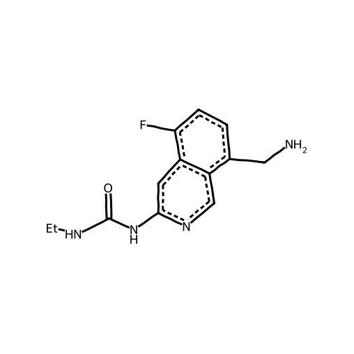 CCNC(=O)Nc1cc2c(F)ccc(CN)c2cn1